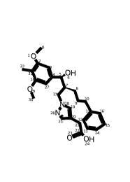 COc1cc([C@@H](O)[C@@H](CCCc2ccccc2)Cn2cc(CC(=O)O)cn2)cc(OC)c1C